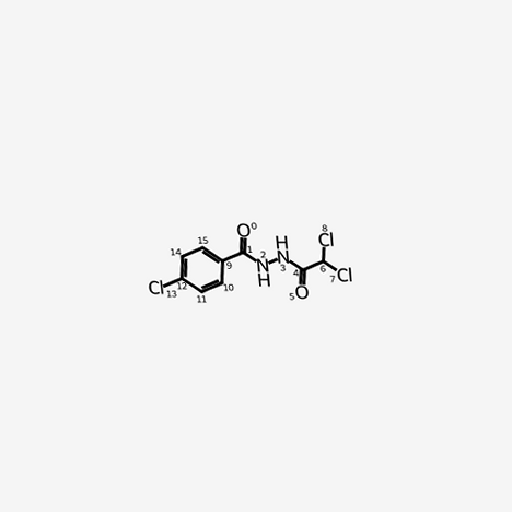 O=C(NNC(=O)C(Cl)Cl)c1ccc(Cl)cc1